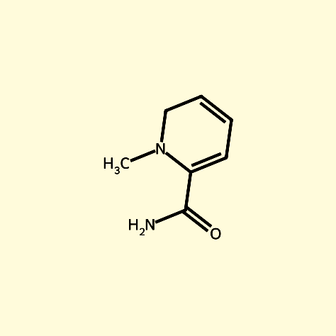 CN1CC=CC=C1C(N)=O